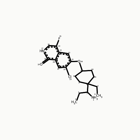 CCC(N)C1(CC)CCC(Oc2cc3c(F)c[nH]c(=O)c3cc2Cl)CC1